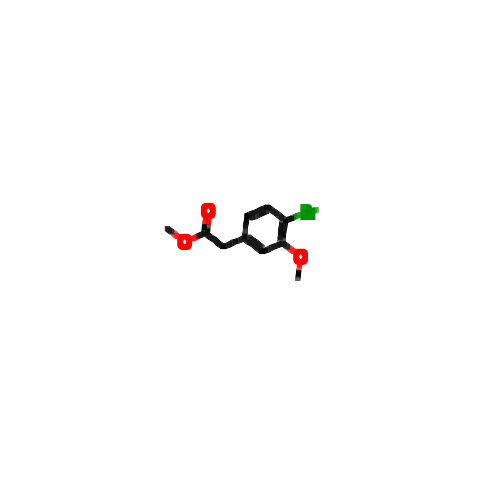 COC(=O)Cc1ccc(Br)c(OC)c1